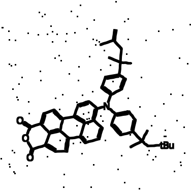 C=C(C)CC(C)(C)c1ccc(N(c2ccc(C(C)(C)CC(C)(C)C)cc2)c2ccc3c4ccc5c6c(ccc(c7cccc2c73)c64)C(=O)OC5=O)cc1